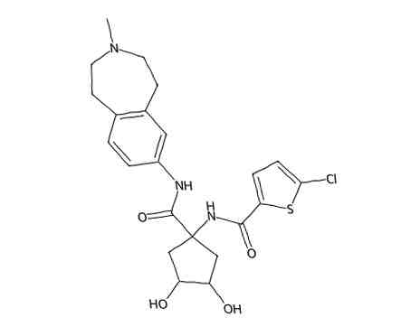 CN1CCc2ccc(NC(=O)C3(NC(=O)c4ccc(Cl)s4)CC(O)C(O)C3)cc2CC1